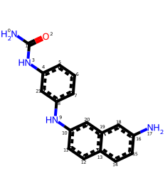 NC(=O)Nc1cccc(Nc2ccc3ccc(N)cc3c2)c1